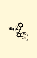 Cc1ccnc(N(Cc2ccccc2)C(=O)OC(C)(C)C)c1[N+](=O)[O-].[H-].[Na+]